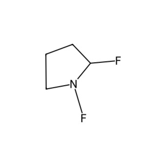 FC1CCCN1F